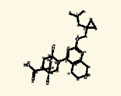 CN(C)CC1(COc2nc3c(c(N4C[C@@H]5CC[C@H]4CN5C(=O)O)n2)CCNC3)CC1